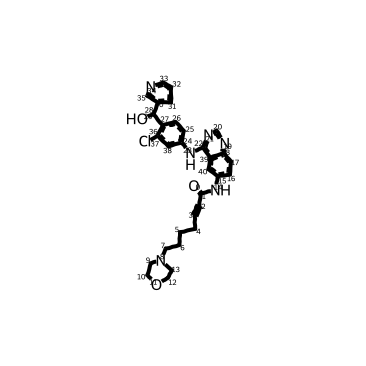 O=C(C#CCCCCN1CCOCC1)Nc1ccc2ncnc(Nc3ccc(C(O)c4cccnc4)c(Cl)c3)c2c1